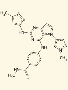 CNC(=O)c1ccc(Nc2nc(Nc3cc(C)ns3)nc3ccn(-c4cnn(C)c4)c23)cc1